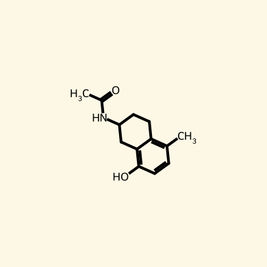 CC(=O)NC1CCc2c(C)ccc(O)c2C1